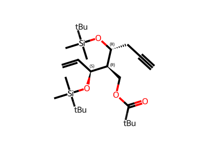 C#CC[C@@H](O[Si](C)(C)C(C)(C)C)[C@@H](COC(=O)C(C)(C)C)[C@H](C=C)O[Si](C)(C)C(C)(C)C